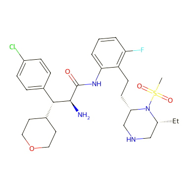 CC[C@@H]1CNC[C@H](CCc2c(F)cccc2NC(=O)[C@@H](N)[C@@H](c2ccc(Cl)cc2)C2CCOCC2)N1S(C)(=O)=O